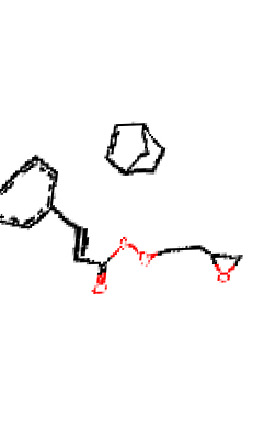 C1=CC2CCC1C2.O=C(C=Cc1ccccc1)OOCC1CO1